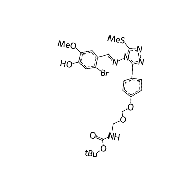 COc1cc(/C=N/n2c(SC)nnc2-c2ccc(OCOCNC(=O)OC(C)(C)C)cc2)c(Br)cc1O